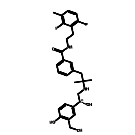 Cc1ccc(F)c(CCNC(=O)c2cccc(CC(C)(C)NC[C@H](O)c3ccc(O)c(CO)c3)c2)c1F